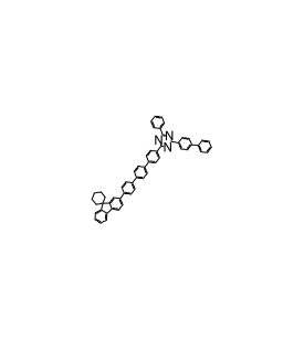 c1ccc(-c2ccc(-c3nc(-c4ccccc4)nc(-c4ccc(-c5ccc(-c6ccc(-c7ccc8c(c7)C7(CCCCC7)c7ccccc7-8)cc6)cc5)cc4)n3)cc2)cc1